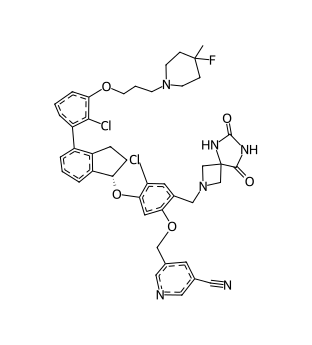 CC1(F)CCN(CCCOc2cccc(-c3cccc4c3CC[C@@H]4Oc3cc(OCc4cncc(C#N)c4)c(CN4CC5(C4)NC(=O)NC5=O)cc3Cl)c2Cl)CC1